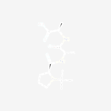 C[C@H](NC(=O)[C@@H]1CCCN1C(C)(C)C)C(=O)N[C@H](C)C(=O)O